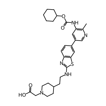 Cc1ncc(-c2ccc3nc(NCCC4CCN(CC(=O)O)CC4)sc3c2)cc1NC(=O)OC1CCCCC1